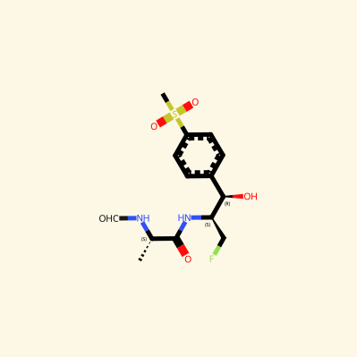 C[C@H](NC=O)C(=O)N[C@H](CF)[C@H](O)c1ccc(S(C)(=O)=O)cc1